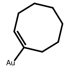 [Au][C]1=CCCCCCC1